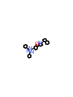 c1ccc(-c2nc(-c3ccccc3)nc(-c3ccc4c(c3)oc3nc(-c5cccc6ccccc56)ccc34)n2)cc1